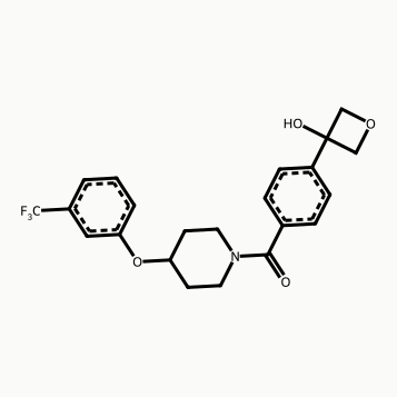 O=C(c1ccc(C2(O)COC2)cc1)N1CCC(Oc2cccc(C(F)(F)F)c2)CC1